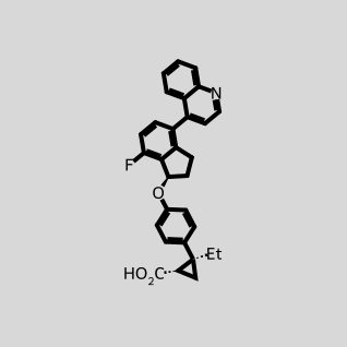 CC[C@]1(c2ccc(O[C@@H]3CCc4c(-c5ccnc6ccccc56)ccc(F)c43)cc2)C[C@@H]1C(=O)O